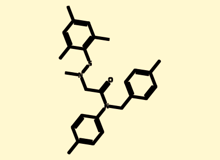 Cc1ccc(CN(C(=O)CN(C)Sc2c(C)cc(C)cc2C)c2ccc(C)cc2)cc1